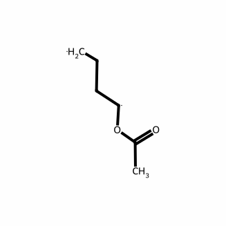 [CH2]CC[CH]OC(C)=O